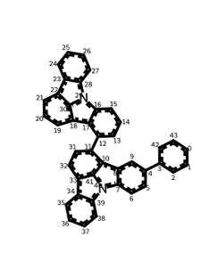 c1ccc(-c2ccc3c(c2)c2c(-c4cccc5c4c4cccc6c7ccccc7n5c64)ccc4c5ccccc5n3c42)cc1